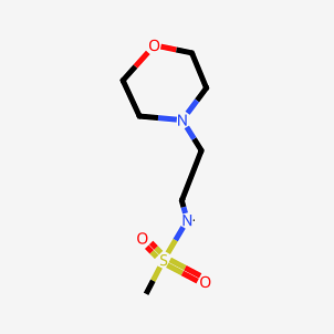 CS(=O)(=O)[N]CCN1CCOCC1